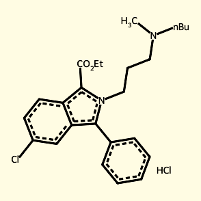 CCCCN(C)CCCn1c(C(=O)OCC)c2ccc(Cl)cc2c1-c1ccccc1.Cl